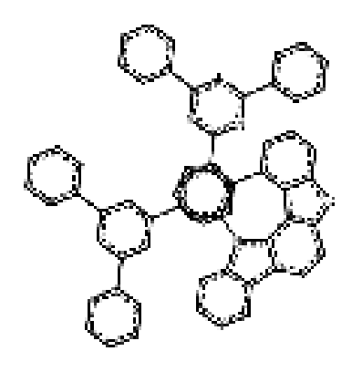 c1ccc(-c2cc(-c3ccccc3)cc(-c3ccc(-c4cccc5oc6ccc7c8ccccc8n(-c8ccccc8)c7c6c45)c(-c4nc(-c5ccccc5)nc(-c5ccccc5)n4)c3)c2)cc1